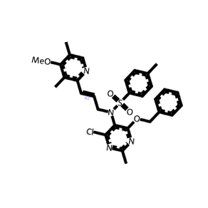 COc1c(C)cnc(/C=C/CN(c2c(Cl)nc(C)nc2OCc2ccccc2)S(=O)(=O)c2ccc(C)cc2)c1C